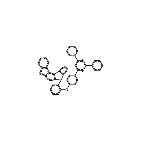 c1ccc(-c2cc(-c3ccc4c(c3)C3(c5ccccc5O4)c4ccccc4-c4c3ccc3sc5ccccc5c43)nc(-c3ccccc3)n2)cc1